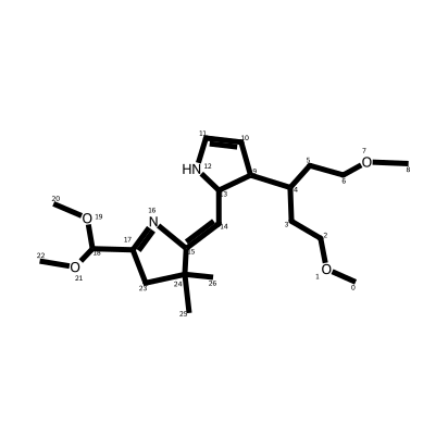 COCCC(CCOC)C1C=CNC1/C=C1\N=C(C(OC)OC)CC1(C)C